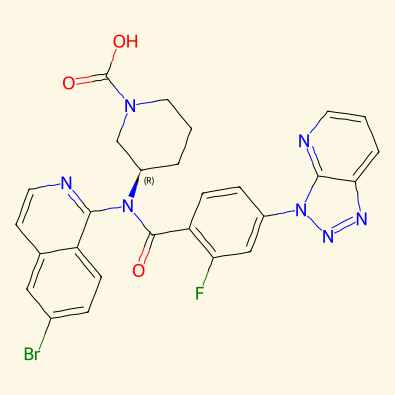 O=C(O)N1CCC[C@@H](N(C(=O)c2ccc(-n3nnc4cccnc43)cc2F)c2nccc3cc(Br)ccc23)C1